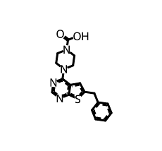 O=C(O)N1CCN(c2ncnc3sc(Cc4ccccc4)cc23)CC1